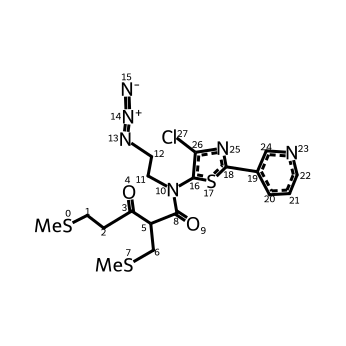 CSCCC(=O)C(CSC)C(=O)N(CCN=[N+]=[N-])c1sc(-c2cccnc2)nc1Cl